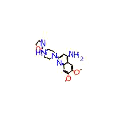 C1=NCCO1.COc1cc2nc(N3CCNCC3)cc(N)c2cc1OC